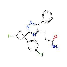 NC(=O)CCc1nc([C@]2(c3ccc(Cl)cc3)C[C@@H](F)C2)nnc1-c1ccccc1